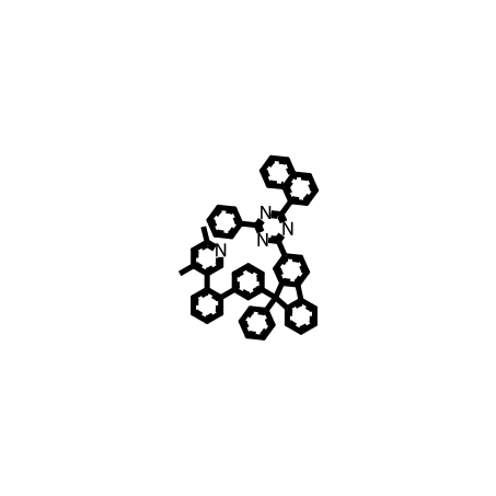 Cc1cc(C)c(-c2ccccc2-c2cccc(C3(c4ccccc4)c4ccccc4-c4ccc(-c5nc(-c6ccccc6)nc(-c6cccc7ccccc67)n5)cc43)c2)cn1